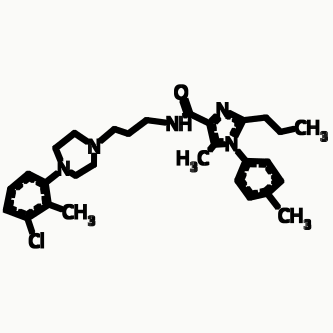 CCCc1nc(C(=O)NCCCN2CCN(c3cccc(Cl)c3C)CC2)c(C)n1-c1ccc(C)cc1